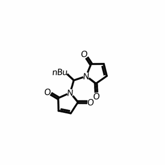 CCCCC(N1C(=O)C=CC1=O)N1C(=O)C=CC1=O